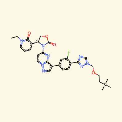 CCn1cccc([C@H]2COC(=O)N2c2ccn3ncc(-c4ccc(-c5ncn(COCC[Si](C)(C)C)n5)c(F)c4)c3n2)c1=O